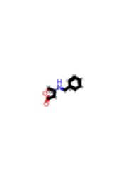 O=C1C[C@@H](NCc2ccccc2)CO1